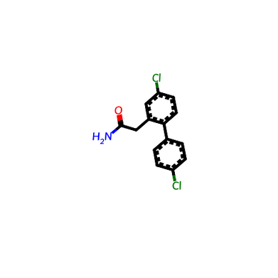 NC(=O)Cc1cc(Cl)ccc1-c1ccc(Cl)cc1